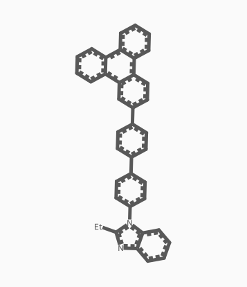 CCc1nc2ccccc2n1-c1ccc(-c2ccc(-c3ccc4c5ccccc5c5ccccc5c4c3)cc2)cc1